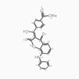 COC(=O)c1ccc(/C(N)=C2/C(=O)Oc3c(Nc4ccccc4)cccc3C2=O)cc1